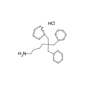 Cl.NCCCCC(Cc1ccccc1)(Cc1ccccc1)Cc1ccccc1